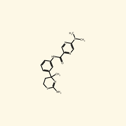 CN(C)c1cnc(C(=O)Nc2cccc(C3(C)CCSC(N)=N3)c2)cn1